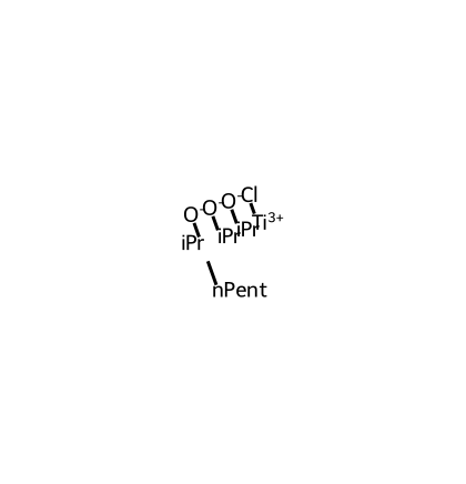 CC(C)[O-].CC(C)[O-].CC(C)[O-].CCCCCC.[Cl][Ti+3]